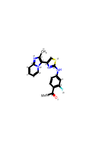 CNC(=O)c1ccc(Nc2nc(-c3c(C)nc4ccccn34)cs2)cc1F